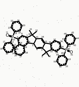 CC1(C)C2=CC3c4c(cc(P(=O)(c5ccccc5)c5ccccc5)c5ccccc45)C(C)(C)C3C=C2c2ccc(P(=O)(c3ccccc3)c3ccccc3)cc21